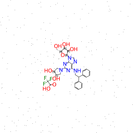 O=C(O)C(F)(F)F.OC[C@H]1O[C@@H](n2cnc3c(NCC(c4ccccc4)c4ccccc4)nc(N4C[C@H](O)[C@@H](O)C4)nc32)[C@H](O)[C@@H]1O